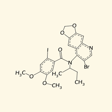 CCC(C)N(C(=O)c1cc(OC)c(OC)cc1I)c1c(Br)cnc2cc3c(cc12)OCO3